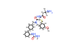 CNC(=O)Nc1ccccc1-c1ccc(CN2Cc3ccc(OC)cc3S[C@@H](NC(=O)CC(C)(C)N)C2=O)cc1